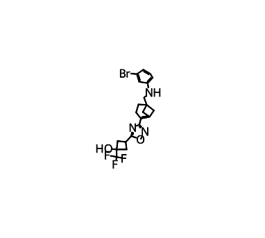 OC1(C(F)(F)F)CC(c2nc(C3=C4CC(CNc5cccc(Br)c5)(CC3)C4)no2)C1